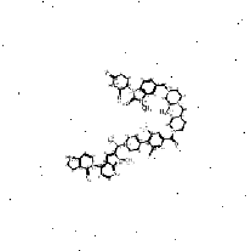 Cc1cc(C(=O)N2CCC(CN3CCN(Cc4ccc5c(c4)n(C)c(=O)n5[C@H]4CCC(=O)NC4=O)C[C@@H]3C)CC2)cc(F)c1C1=CCN([C@@H](C)c2cc3c(-n4ccc5c(c4=O)CCN5)ccnc3n2C)CC1